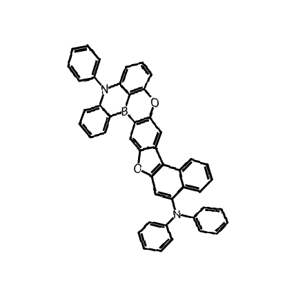 c1ccc(N2c3ccccc3B3c4cc5oc6cc(N(c7ccccc7)c7ccccc7)c7ccccc7c6c5cc4Oc4cccc2c43)cc1